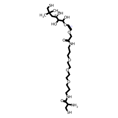 CC(C)(CS)C[C@@H](O)C(O)C(O)O/C=C\OCC(=O)NCCCOCCOCCOCCCNC(=O)C(N)CS